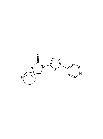 O=C1O[C@]2(CN3CCC2CC3)CN1c1ccc(-c2ccncc2)s1